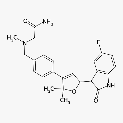 CN(CC(N)=O)Cc1ccc(C2=CC(C3C(=O)Nc4ccc(F)cc43)OC2(C)C)cc1